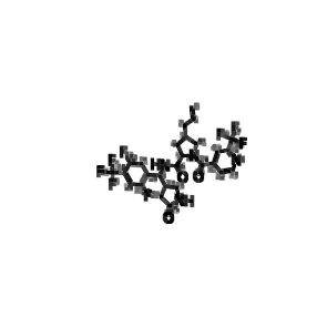 C=CC[C@@H]1C[C@H](C(=O)NC(c2cc(F)c(C(F)(F)F)cc2F)C2CNC(=O)C2)N(C(=O)c2ccnc(C(F)(F)F)c2)C1